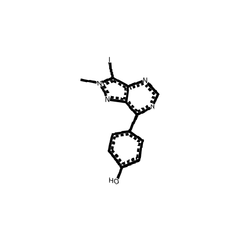 Cn1nc2c(-c3ccc(O)cc3)ncnc2c1I